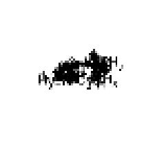 CC(C(=O)N[C@H]1CCS[C@H]2CC(C)(C)[C@@H](C(=O)N[C@H](C(=O)NCC#CC#CCNC(=O)C(NC(=O)[C@H]3N4C(=O)[C@@H](NC(=S)C(C)N(C)C(=O)OC(C)(C)C)CCS[C@H]4CC3(C)C)c3ccccc3)c3ccccc3)N2C1=O)N(C)C(=O)O